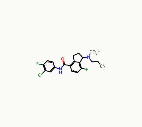 N#CCCN(C(=O)O)C1CCc2c(C(=O)Nc3ccc(F)c(Cl)c3)ccc(F)c21